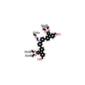 COCCOCCn1c2ccc(-c3ccc4c(c3)C(CCOCCOC)(CCOCCOC)c3cc(CO)ccc3-4)cc2c2cc(-c3ccc4c(c3)C(CCOCCOC)(CCOCCOC)c3cc(CO)ccc3-4)ccc21